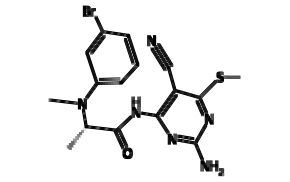 CSc1nc(N)nc(NC(=O)[C@H](C)N(C)c2cccc(Br)c2)c1C#N